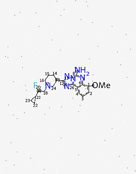 COc1cccc2c1nc(N)n1nc([C@@H]3CCCN(C[C@@H](F)C4CC4)C3)nc21